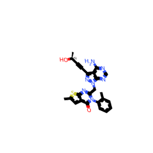 Cc1cc2c(=O)n(-c3ccccc3C)c(Cn3nc(C#C[C@H](C)O)c4c(N)ncnc43)nc2s1